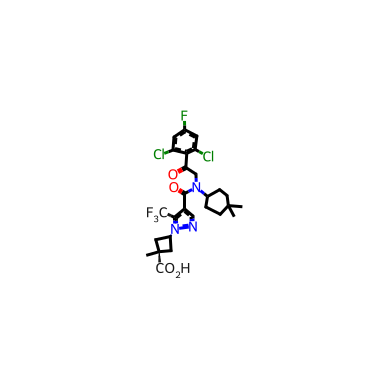 CC1(C)CCC(N(CC(=O)c2c(Cl)cc(F)cc2Cl)C(=O)c2cnn([C@H]3C[C@](C)(C(=O)O)C3)c2C(F)(F)F)CC1